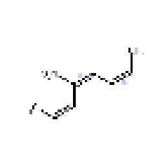 C\C=C/C=C(\C=C/C)[N+](=O)[O-]